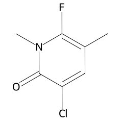 Cc1cc(Cl)c(=O)n(C)c1F